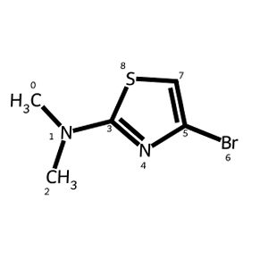 CN(C)c1nc(Br)cs1